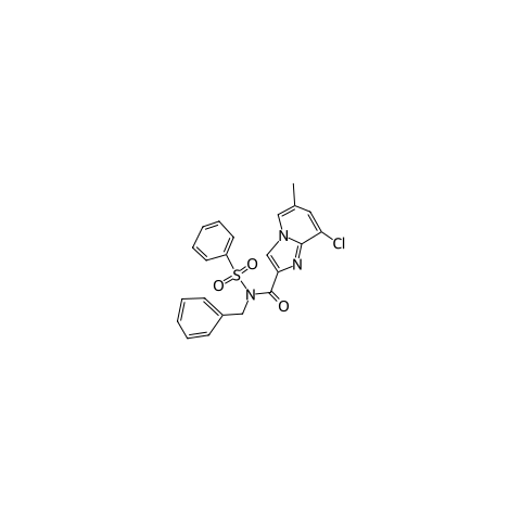 Cc1cc(Cl)c2nc(C(=O)N(Cc3ccccc3)S(=O)(=O)c3ccccc3)cn2c1